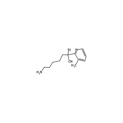 CCC(C#N)(CCCCCN)c1ncccc1C